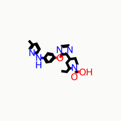 CCC1CC(c2nccnc2Oc2ccc(Nc3ccc(C)cn3)cc2)CCN1C(=O)O